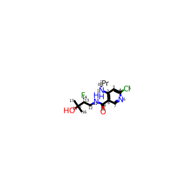 CC(C)Nc1cc(Cl)ncc1C(=O)NC[C@@H](F)C(C)(C)O